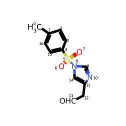 Cc1ccc(S(=O)(=O)n2cnc(CC=O)c2)cc1